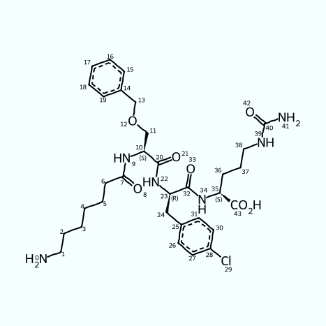 NCCCCCCC(=O)N[C@@H](COCc1ccccc1)C(=O)N[C@H](Cc1ccc(Cl)cc1)C(=O)N[C@@H](CCCNC(N)=O)C(=O)O